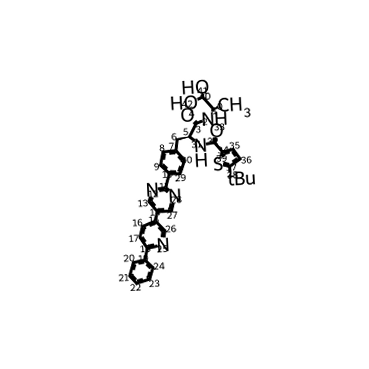 C[C@@H](NC(=O)[C@H](Cc1ccc(-c2ncc(-c3ccc(-c4ccccc4)nc3)cn2)cc1)NC(=O)c1ccc(C(C)(C)C)s1)C(O)O